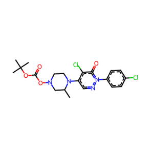 CC1CN(OC(=O)OC(C)(C)C)CCN1c1cnn(-c2ccc(Cl)cc2)c(=O)c1Cl